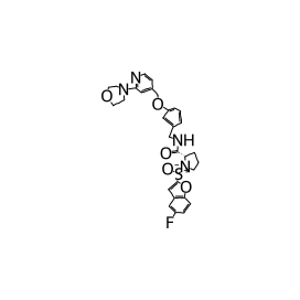 O=C(NCc1cccc(OCc2ccnc(N3CCOCC3)c2)c1)[C@@H]1CCCN1[S+]([O-])c1cc2cc(F)ccc2o1